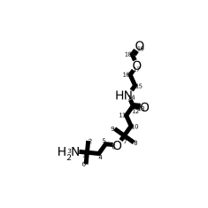 CC(C)(N)CCOC(C)(C)CCC(=O)NCCOC=O